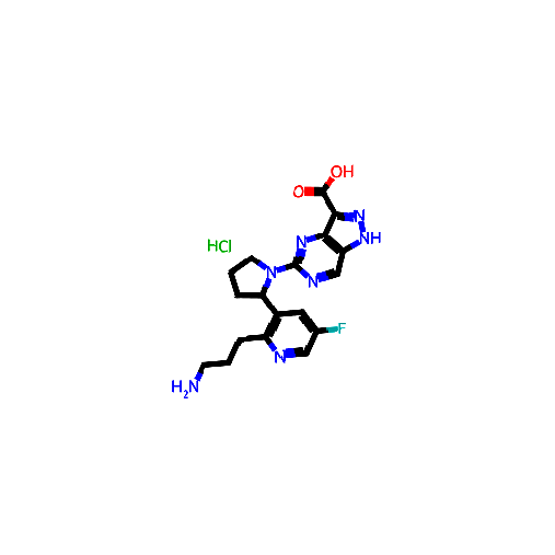 Cl.NCCCc1ncc(F)cc1C1CCCN1c1ncc2[nH]nc(C(=O)O)c2n1